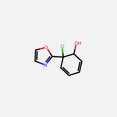 OC1C=CC=CC1(Cl)c1ncco1